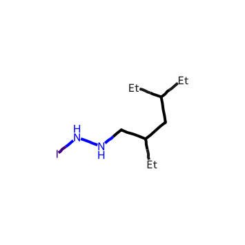 CCC(CC)CC(CC)CNNI